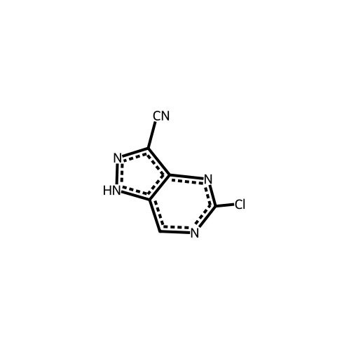 N#Cc1n[nH]c2cnc(Cl)nc12